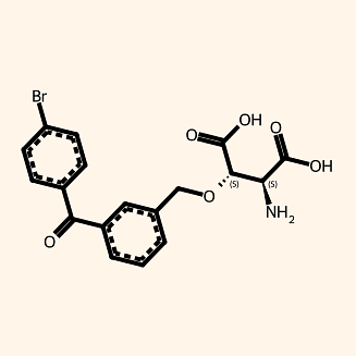 N[C@H](C(=O)O)[C@H](OCc1cccc(C(=O)c2ccc(Br)cc2)c1)C(=O)O